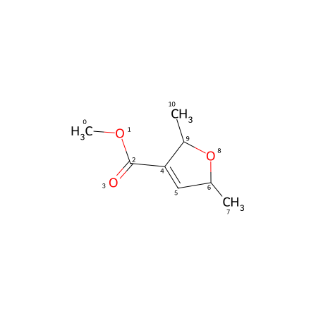 COC(=O)C1=CC(C)OC1C